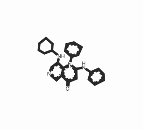 O=c1cc(Nc2ccccc2)n(-c2ccccc2)c2c(NC3CCCCC3)cncc12